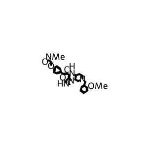 CNC(=O)COc1ccc(C2=C(Cl)C(NC3CCN(Cc4ccccc4OC)CC3)=C3N=CNC3O2)cc1